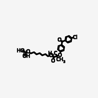 CC(C)(Oc1ccc(C(=O)c2ccc(Cl)cc2)cc1)C(=O)OCCCCCCCON(O)O